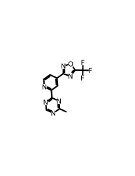 Cc1ncnc(-c2cc(-c3noc(C(F)(F)F)n3)ccn2)n1